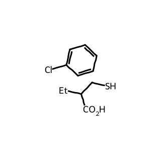 CCC(CS)C(=O)O.Clc1ccccc1